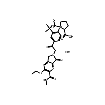 Br.CCOc1cc2c(nc1C(=O)NC)C(=N)N(CC(=O)c1ccc([N+]3(C(=O)[O-])CCCC3C(=O)O)c(C(C)(C)C)c1)C2